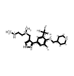 CNCCN(C)Cc1c[nH]nc1-c1cc(F)c(OCC2CCOCC2)c(C(F)(F)F)c1